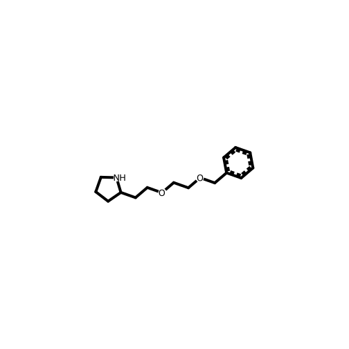 c1ccc(COCCOCCC2CCCN2)cc1